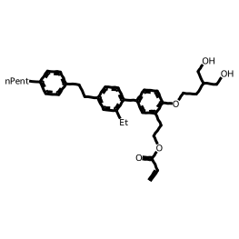 C=CC(=O)OCCc1cc(-c2ccc(CCc3ccc(CCCCC)cc3)cc2CC)ccc1OCCC(CO)CO